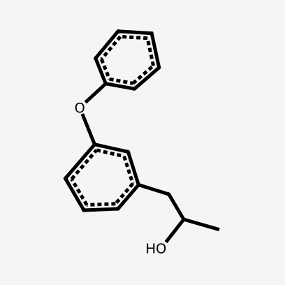 CC(O)Cc1cccc(Oc2ccccc2)c1